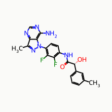 Cc1cccc([C@@H](O)C(=O)Nc2ccc(-n3nc(C)c4ncnc(N)c43)c(F)c2F)c1